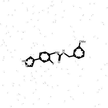 COc1cccc(CNC(=O)Nc2ccc(-c3cn[nH]c3)cc2F)c1